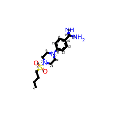 CCCCS(=O)(=O)N1CCN(c2ccc(C(=N)N)cc2)CC1